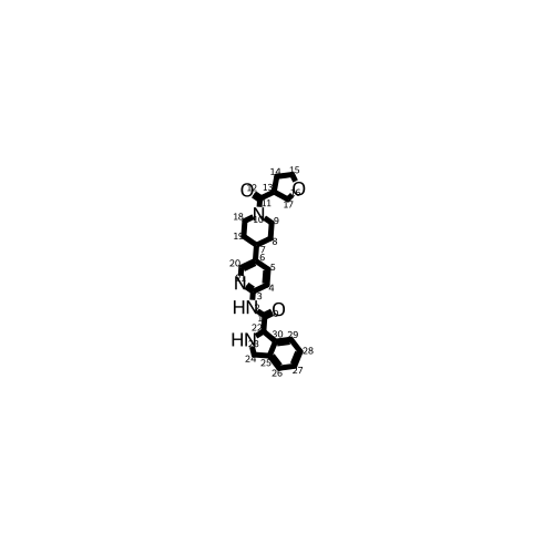 O=C(Nc1ccc(C2CCN(C(=O)C3CCOC3)CC2)cn1)C1NCc2ccccc21